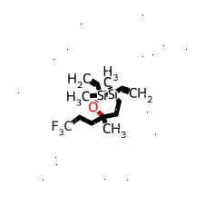 C=C[Si]1(C)CCC(C)(CCC(F)(F)F)O[Si]1(C)C=C